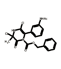 CC(=O)Nc1cccc(C2=C(Cl)NC(C)(Cl)C(=O)N2C(=O)OCc2ccccc2)c1